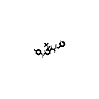 Cc1ccc(Nc2ccc3c(C(=O)NCc4cccnc4)nn(C(C)(C)C)c3n2)cc1